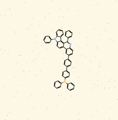 c1ccc(-c2nc3ccc(-c4ccc(-c5ccc(P(c6ccccc6)c6ccccc6)cc5)cc4)cc3c3ccc4c(c5ccccc5n4-c4ccccc4)c23)cc1